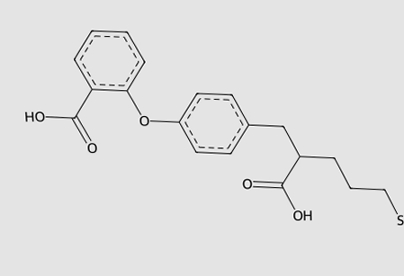 O=C(O)c1ccccc1Oc1ccc(CC(CCCS)C(=O)O)cc1